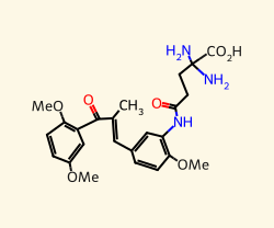 COc1ccc(OC)c(C(=O)C(C)=Cc2ccc(OC)c(NC(=O)CCC(N)(N)C(=O)O)c2)c1